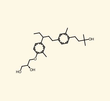 CCC(CCc1ccc(CCC(C)(C)O)c(C)c1)c1ccc(OC[C@@H](O)CO)c(C)c1